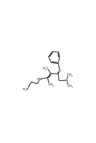 C/C(NCCN)=C(C)\C(CN(C)C)=N/c1ccccc1